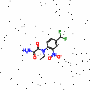 CCN(C(=O)C(N)=O)c1ccc(C(F)F)cc1[N+](=O)[O-]